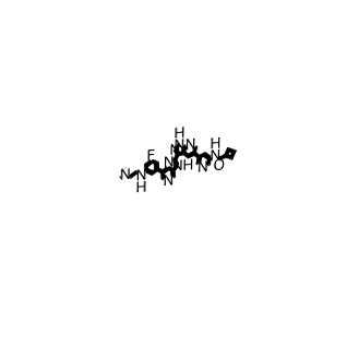 CN(C)CCNc1cc(F)cc(-c2cncc3[nH]c(-c4n[nH]c5ncc(-c6cncc(NC(=O)C7CCC7)c6)cc45)nc23)c1